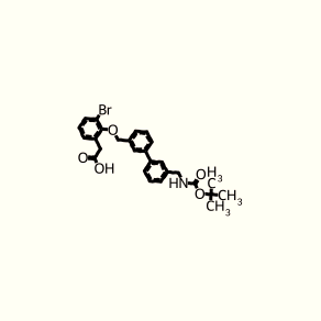 CC(C)(C)OC(=O)NCc1cccc(-c2cccc(COc3c(Br)cccc3CC(=O)O)c2)c1